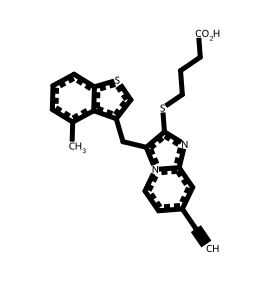 C#Cc1ccn2c(Cc3csc4cccc(C)c34)c(SCCCC(=O)O)nc2c1